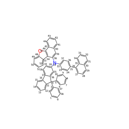 c1ccc(C2(c3ccccc3)c3ccccc3-c3ccc(N(c4ccc(-c5cccc6ccccc56)cc4)c4cc5ccccc5c5oc6ccccc6c45)cc32)cc1